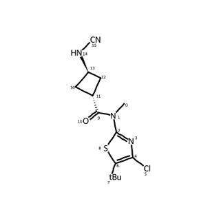 CN(c1nc(Cl)c(C(C)(C)C)s1)C(=O)[C@H]1C[C@H](NC#N)C1